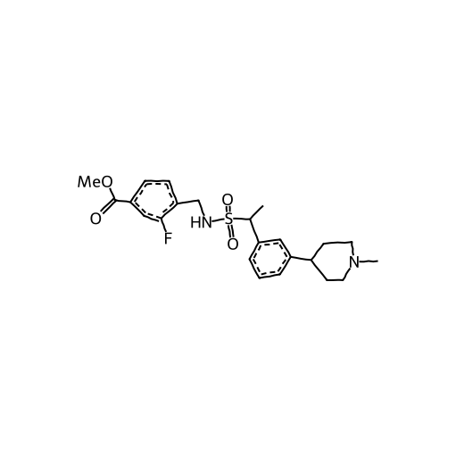 COC(=O)c1ccc(CNS(=O)(=O)C(C)c2cccc(C3CCN(C)CC3)c2)c(F)c1